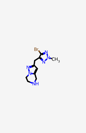 Cn1nc(Br)c(Cc2cc3n(n2)CCNC3)n1